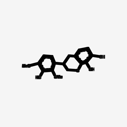 COc1ccc(C2COc3c(ccc(O)c3O)C2)c(OC)c1O